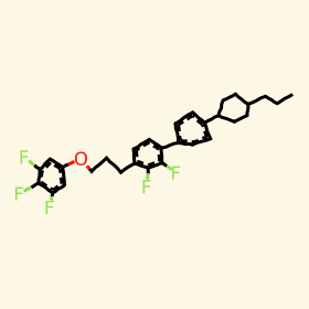 CCCC1CCC(c2ccc(-c3ccc(CCCOc4cc(F)c(F)c(F)c4)c(F)c3F)cc2)CC1